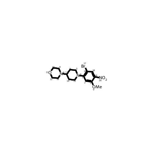 COc1cc(N2CCC(N3CCOCC3)CC2)c(Br)cc1[N+](=O)[O-]